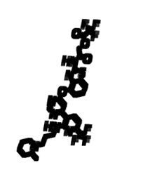 CC1CCCCN1CCCNc1nc(C(F)(F)F)ccc1-c1cc(Oc2cccc3sc(NC(=O)COC(=O)C(F)(F)F)nc23)ncn1